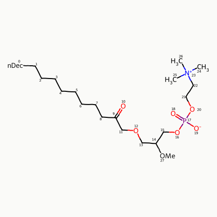 CCCCCCCCCCCCCCCCCCC(=O)COCC(COP(=O)([O-])OCC[N+](C)(C)C)OC